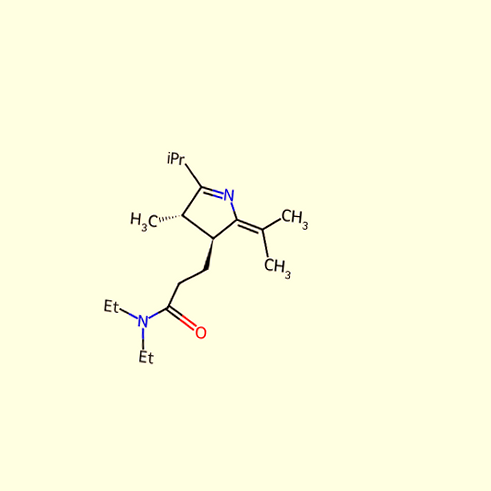 CCN(CC)C(=O)CC[C@@H]1C(=C(C)C)N=C(C(C)C)[C@H]1C